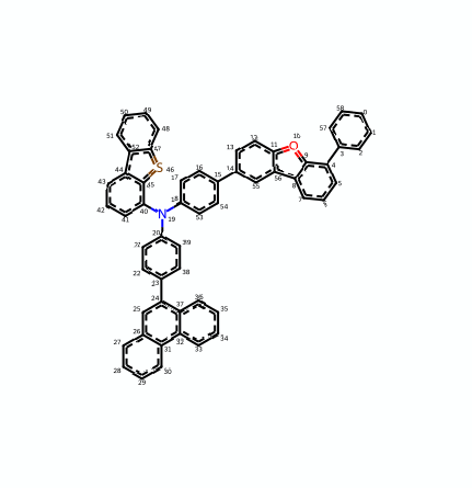 c1ccc(-c2cccc3c2oc2ccc(-c4ccc(N(c5ccc(-c6cc7ccccc7c7ccccc67)cc5)c5cccc6c5sc5ccccc56)cc4)cc23)cc1